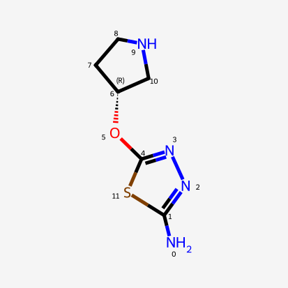 Nc1nnc(O[C@@H]2CCNC2)s1